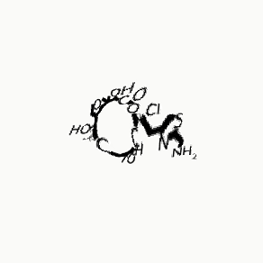 CCC1C(=O)C(C)(C)C(O)CC(=O)O[C@H](C(Cl)=Cc2csc(CN)n2)C[C@@H]2O[C@]2(C)CCC[C@H](C)[C@@H]1O